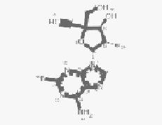 C#CC1(CO)O[C@@H](n2cnc3c(N)nc(F)nc32)[C@@H](F)[C@@H]1O